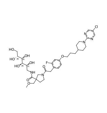 COCC1(C(=O)NC[C@H](O)[C@@H](O)[C@H](O)[C@H](O)CO)CCN(C(=O)Cc2ccc(OCCCC3CCN(c4ncc(Cl)cn4)CC3)cc2F)C1